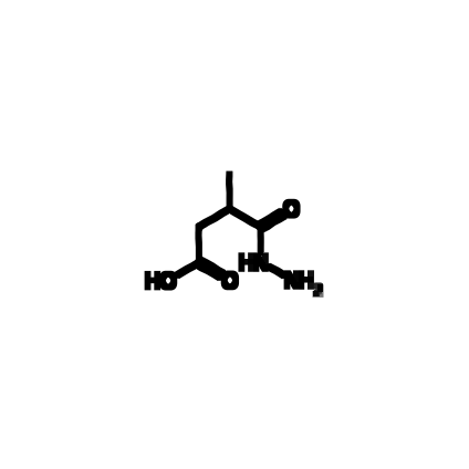 CC(CC(=O)O)C(=O)NN